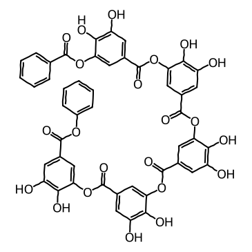 O=C(Oc1ccccc1)c1cc(O)c(O)c(OC(=O)c2cc(O)c(O)c(OC(=O)c3cc(O)c(O)c(OC(=O)c4cc(O)c(O)c(OC(=O)c5cc(O)c(O)c(OC(=O)c6ccccc6)c5)c4)c3)c2)c1